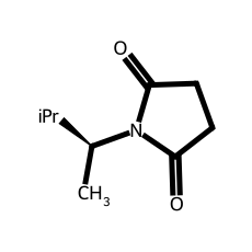 CC(C)[C@H](C)N1C(=O)CCC1=O